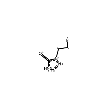 O=c1[nH]nnn1CCBr